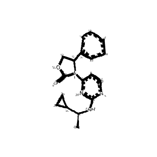 C[C@H](Nc1nccc(N2C(=O)OCC2c2ccccc2)n1)C1CC1